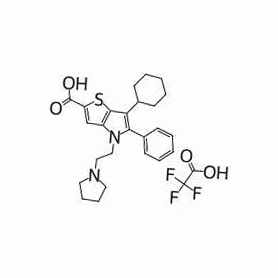 O=C(O)C(F)(F)F.O=C(O)c1cc2c(s1)c(C1CCCCC1)c(-c1ccccc1)n2CCN1CCCC1